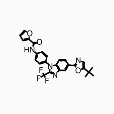 CC(C)(C)c1cnc(-c2ccc3c(c2)nc(C(F)(F)F)n3-c2ccc(NC(=O)c3ccco3)cc2)o1